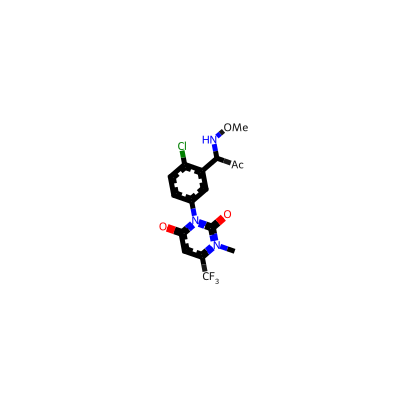 CONC(C(C)=O)c1cc(-n2c(=O)cc(C(F)(F)F)n(C)c2=O)ccc1Cl